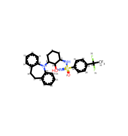 N=S(=O)(NC1CCCC(N2c3ccccc3CCc3ccccc32)C1O)c1ccc(C(F)(F)C(F)(F)F)cc1